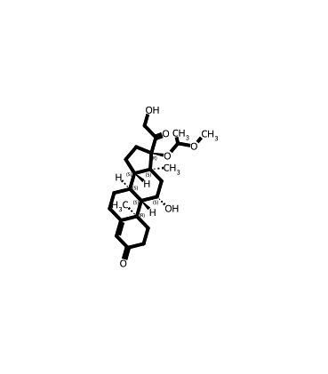 COC(C)O[C@]1(C(=O)CO)CC[C@H]2[C@@H]3CCC4=CC(=O)CC[C@]4(C)[C@H]3[C@@H](O)C[C@@]21C